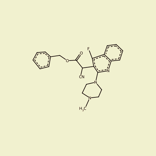 CN1CCN(c2nc3ccccc3c(F)c2C(C#N)C(=O)OCc2ccccc2)CC1